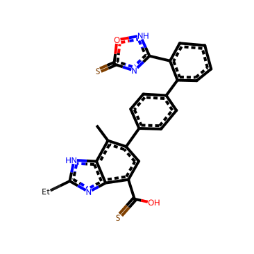 CCc1nc2c(C(O)=S)cc(-c3ccc(-c4ccccc4-c4nc(=S)o[nH]4)cc3)c(C)c2[nH]1